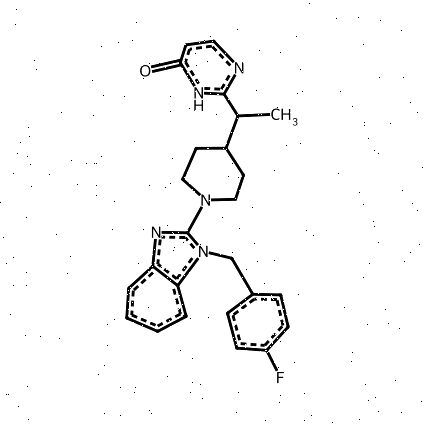 CC(c1nccc(=O)[nH]1)C1CCN(c2nc3ccccc3n2Cc2ccc(F)cc2)CC1